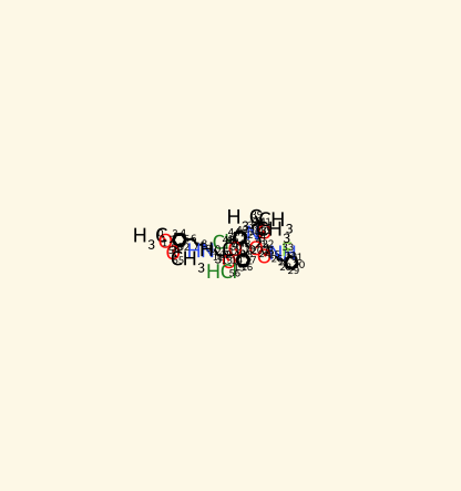 COc1ccc(CCCNCCCOc2cccc([C@@H]3O[C@@H](CC(=O)NCc4ccccc4F)C(=O)N(CC(C)(C)C)c4ccc(Cl)cc43)c2OC)cc1OC.Cl